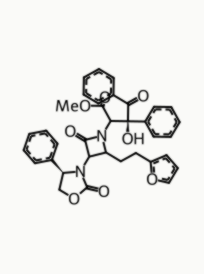 COC(=O)C(N1C(=O)C(N2C(=O)OC[C@H]2c2ccccc2)C1CCc1ccco1)[C@](O)(C(=O)c1ccccc1)c1ccccc1